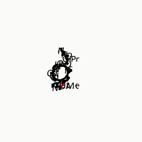 CCn1c(-c2cccnc2[C@H](C)OC)c2c3cc(ccc31)-c1csc(n1)C[C@H](NC(=O)[C@@H](OC(=O)N1CC(N(C)C)C1)C(C)C)C(=O)N1CCC[C@H](N1)C(=O)OCC(C)(C)C2